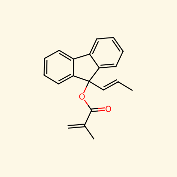 C=C(C)C(=O)OC1(/C=C/C)c2ccccc2-c2ccccc21